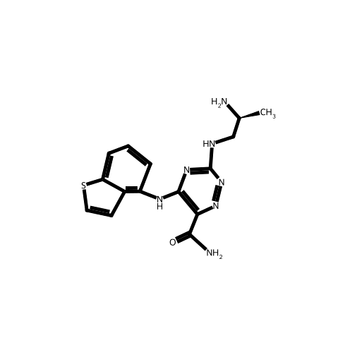 C[C@H](N)CNc1nnc(C(N)=O)c(Nc2cccc3sccc23)n1